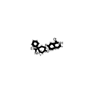 CCC(N)C1(c2ccccc2)CCC(Oc2cc3cc[nH]c(=O)c3cc2F)CC1